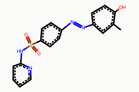 Cc1cc(/N=N/c2ccc(S(=O)(=O)Nc3ccccn3)cc2)ccc1O